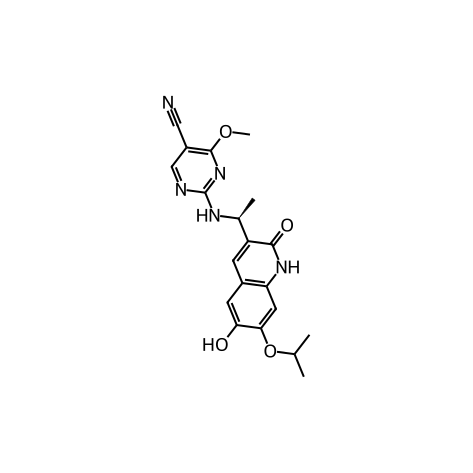 COc1nc(N[C@@H](C)c2cc3cc(O)c(OC(C)C)cc3[nH]c2=O)ncc1C#N